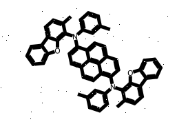 Cc1cccc(N(c2ccc3ccc4c(N(c5cccc(C)c5)c5c(C)ccc6c5oc5ccccc56)ccc5ccc2c3c54)c2c(C)ccc3c2oc2ccccc23)c1